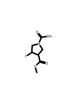 COC(=O)C1CN(C(=O)O)CC1F